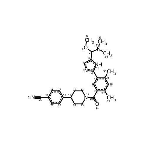 COC(c1cnc(-c2cc(C(=O)N3CCC(c4ccc(C#N)cc4)CC3)c(C)cc2C)[nH]1)N(C)C